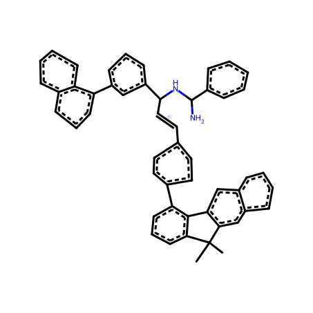 CC1(C)c2cc3ccccc3cc2-c2c(-c3ccc(/C=C/C(NC(N)c4ccccc4)c4cccc(-c5cccc6ccccc56)c4)cc3)cccc21